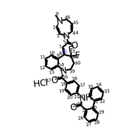 CN1C=CN(C(=O)/C=C2/c3ccccc3N(C(=O)c3ccc(NC(=O)c4ccccc4-c4ccccc4)cc3)CCC2(F)F)C=CC1.Cl